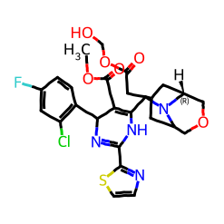 COC(=O)C1=C(CN2C3COC[C@H]2CC(CC(=O)OCO)C3)NC(c2nccs2)=NC1c1ccc(F)cc1Cl